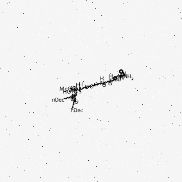 CCCCCCCCCCCCCCCC(=O)OC[C@H](CSC[C@H](NC(=S)NCCCOCCOCCOCCCNC(=O)CCCC(=O)NCc1ccc(Cn2c(CCCC)nc3c(N)nc4ccccc4c32)cc1)C(=O)N[C@@H](CO)C(=O)OC)OC(=O)CCCCCCCCCCCCCCC